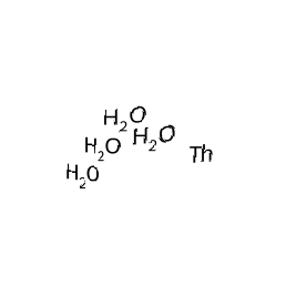 O.O.O.O.[Th]